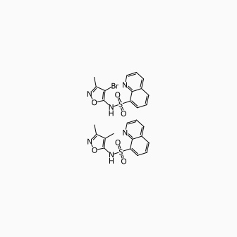 Cc1noc(NS(=O)(=O)c2cccc3cccnc23)c1Br.Cc1noc(NS(=O)(=O)c2cccc3cccnc23)c1C